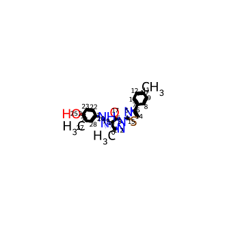 CC1=NN(c2nc(-c3ccc(C)cc3)cs2)C(=O)/C1=N\Nc1ccc(O)c(C)c1